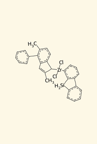 CC1=Cc2c(ccc(C)c2-c2ccccc2)[CH]1[Zr]([Cl])([Cl])[c]1cccc2c1[SiH2]c1ccccc1-2